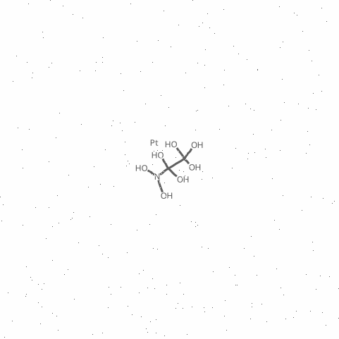 ON(O)C(O)(O)C(O)(O)O.[Pt]